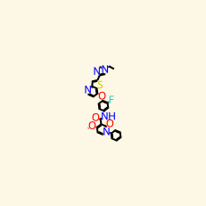 CCn1cnc(-c2cc3nccc(Oc4ccc(NC(=O)c5c(OC)ccn(-c6ccccc6)c5=O)cc4F)c3s2)c1